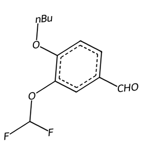 CCCCOc1ccc(C=O)cc1OC(F)F